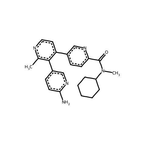 Cc1nccc(-c2ccc(C(=O)N(C)C3CCCCC3)nc2)c1-c1ccc(N)nc1